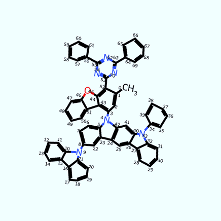 Cc1cc(-n2c3ccc(-n4c5ccccc5c5ccccc54)cc3c3cc4c5ccccc5n(-c5ccccc5)c4cc32)c2c(oc3ccccc32)c1-c1nc(-c2ccccc2)nc(-c2ccccc2)n1